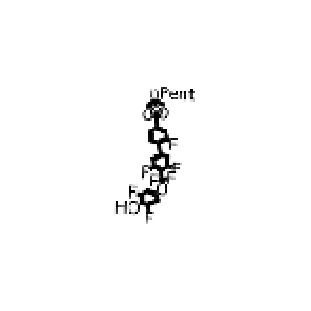 CCCCCC12COC(c3ccc(-c4cc(F)c(C(F)(F)Oc5cc(F)c(O)c(F)c5)c(F)c4)c(F)c3)(OC1)OC2